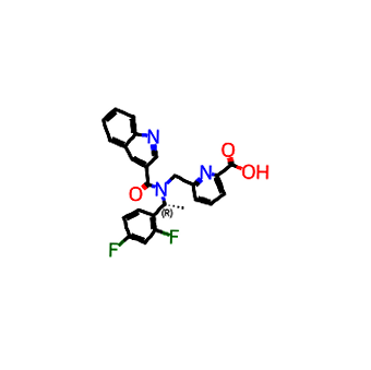 C[C@H](c1ccc(F)cc1F)N(Cc1cccc(C(=O)O)n1)C(=O)c1cnc2ccccc2c1